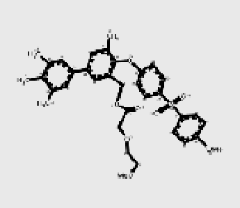 COCCOCC(=O)OCc1cc(-c2cc(C)c(C)c(C)c2)cc(C)c1Oc1ccc(S(=O)(=O)c2ccc(OC)cc2)cc1